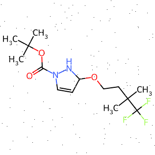 CC(C)(C)OC(=O)N1C=CC(OCCC(C)(C)C(F)(F)F)N1